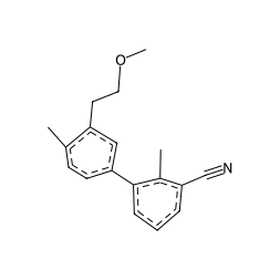 COCCc1cc(-c2cccc(C#N)c2C)ccc1C